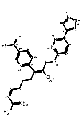 C=C(C)/N=C\CCC/C(=C(\C)COc1ccc(-c2cn[nH]c2)nn1)c1ccc(C(F)F)cn1